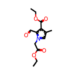 CCOC(=O)Cn1cc(C)c(C(=O)OCC)c1C=O